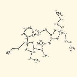 CCCC[B-](CCCC)(CCCC)c1ccccc1.CCCC[N+](CCCC)(CCCC)CCCC